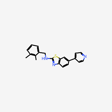 Cc1cccc(CNc2nc3ccc(-c4ccncc4)cc3s2)c1C